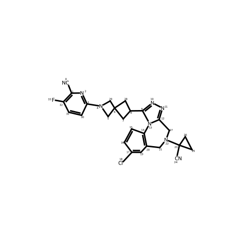 N#Cc1nc(N2CC3(CC(c4nnc5n4-c4ccc(Cl)cc4CN(C4(C#N)CC4)C5)C3)C2)ccc1F